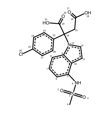 CS(=O)(=O)Nc1cccc2c1ccn2C(CC(=O)O)(C(=O)O)c1ccc(Cl)cc1